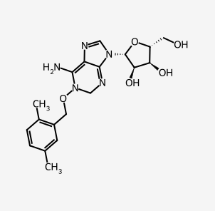 Cc1ccc(C)c(CON2CN=c3c(ncn3[C@@H]3O[C@H](CO)[C@@H](O)[C@H]3O)=C2N)c1